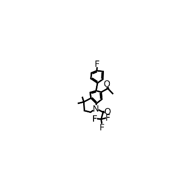 CC(=O)c1cc2c(cc1-c1ccc(F)cc1)C(C)(C)CCN2C(=O)C(F)(F)F